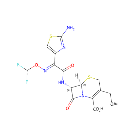 CC(=O)OCC1=C(C(=O)O)N2C(=O)[C@H](NC(=O)C(=NOC(F)F)c3csc(N)n3)[C@H]2SC1